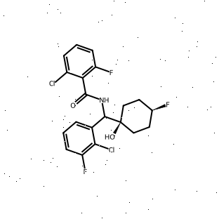 O=C(NC(c1cccc(F)c1Cl)[C@]1(O)CC[C@@H](F)CC1)c1c(F)cccc1Cl